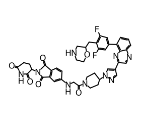 O=C1CCC(N2C(=O)c3ccc(NCC(=O)N4CCC(n5cc(-c6cnc7cccc(-c8cc(F)c(CC9CNCCO9)c(F)c8)c7n6)cn5)CC4)cc3C2=O)C(=O)N1